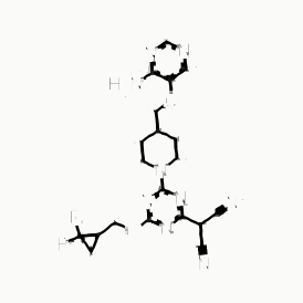 N#CC(C#N)c1nc(OCC2CC2(F)F)nc(N2CCC(COc3cncnc3N)CC2)n1